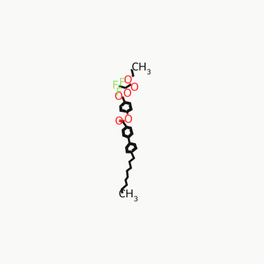 CCCCCCCCCc1ccc(-c2ccc(C(=O)Oc3ccc(C(=O)OC(C(=O)OCCC)C(F)(F)F)cc3)cc2)cc1